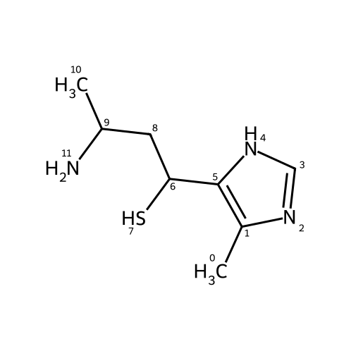 Cc1nc[nH]c1C(S)CC(C)N